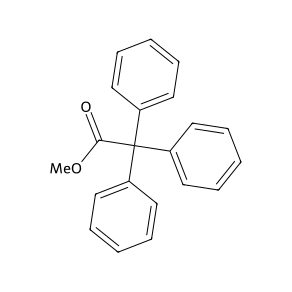 COC(=O)C(c1ccccc1)(c1ccccc1)c1ccccc1